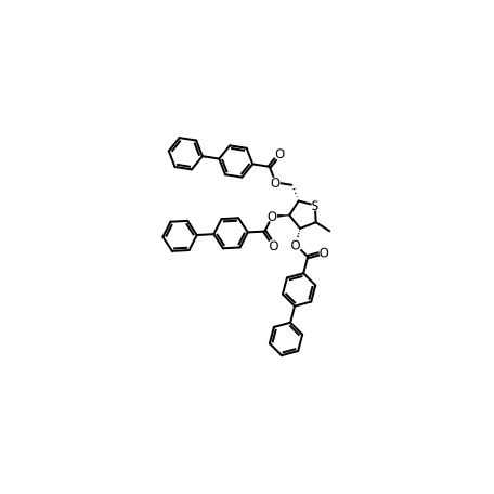 CC1S[C@@H](COC(=O)c2ccc(-c3ccccc3)cc2)[C@H](OC(=O)c2ccc(-c3ccccc3)cc2)[C@H]1OC(=O)c1ccc(-c2ccccc2)cc1